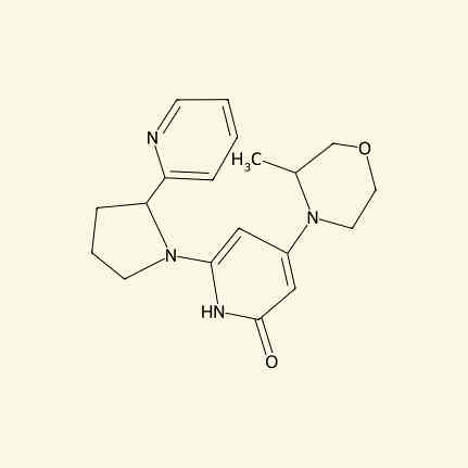 CC1COCCN1c1cc(N2CCCC2c2ccccn2)[nH]c(=O)c1